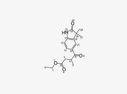 CCOC(=O)CC(C)C(=O)c1ccc2c(c1)C(C)(C)C(=O)N2